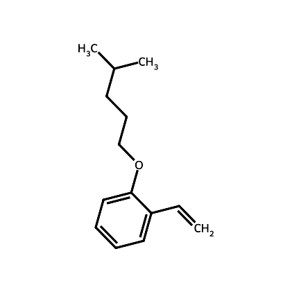 C=Cc1ccccc1OCCCC(C)C